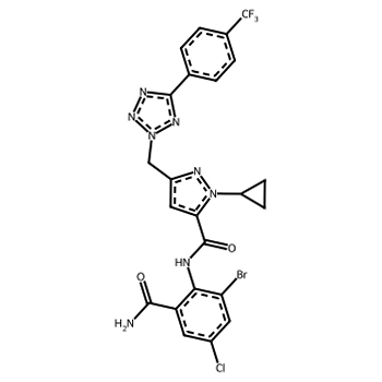 NC(=O)c1cc(Cl)cc(Br)c1NC(=O)c1cc(Cn2nnc(-c3ccc(C(F)(F)F)cc3)n2)nn1C1CC1